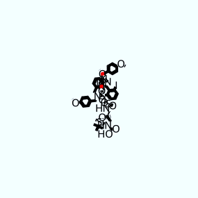 COc1ccc(CN(Cc2ccc(OC)cc2)S(=O)(=O)c2c(S(=O)(=O)NC[C@@H](CNC(=O)O)O[Si](C)(C)C(C)(C)C)ccc(I)c2-c2nnn(Cc3ccc(OC)cc3)n2)cc1